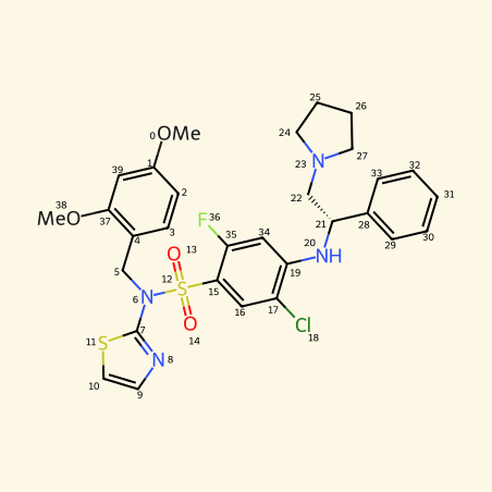 COc1ccc(CN(c2nccs2)S(=O)(=O)c2cc(Cl)c(N[C@H](CN3CCCC3)c3ccccc3)cc2F)c(OC)c1